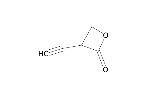 C#CC1COC1=O